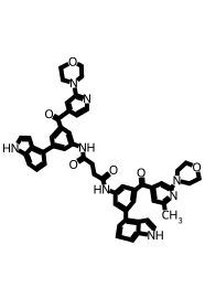 Cc1cc(C(=O)c2cc(NC(=O)CCC(=O)Nc3cc(C(=O)c4ccnc(N5CCOCC5)c4)cc(-c4cccc5[nH]ccc45)c3)cc(-c3cccc4[nH]ccc34)c2)cc(N2CCOCC2)n1